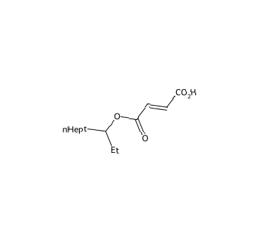 CCCCCCCC(CC)OC(=O)C=CC(=O)O